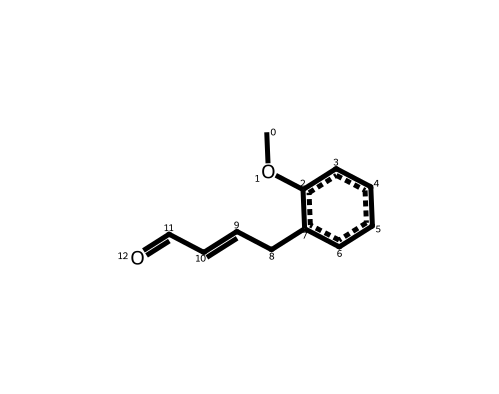 COc1ccccc1C/C=C/C=O